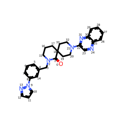 O=C1N(Cc2cccc(-n3cccn3)c2)CCCC12CCN(c1cnc3ccccc3n1)CC2